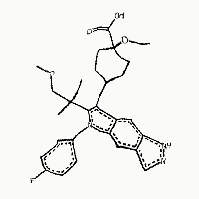 COCC(C)(C)c1c(C2CCC(OC)(C(=O)O)CC2)c2cc3[nH]ncc3cc2n1-c1ccc(F)cc1